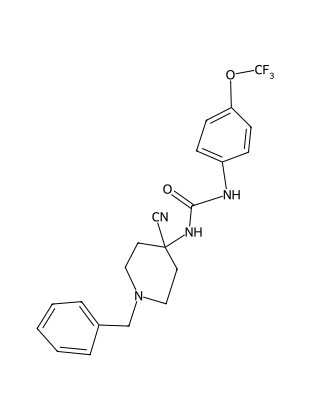 N#CC1(NC(=O)Nc2ccc(OC(F)(F)F)cc2)CCN(Cc2ccccc2)CC1